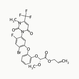 C=CCOC(=O)[C@H](OC)Oc1ccccc1Oc1cc(-n2c(=O)cc(C(F)(F)F)n(C)c2=O)c(F)cc1Br